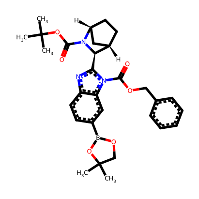 CC(C)(C)OC(=O)N1[C@@H]2CC[C@@H](C2)[C@H]1c1nc2ccc(B3OCC(C)(C)O3)cc2n1C(=O)OCc1ccccc1